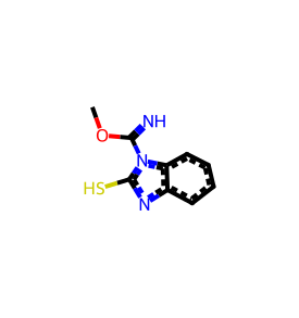 COC(=N)n1c(S)nc2ccccc21